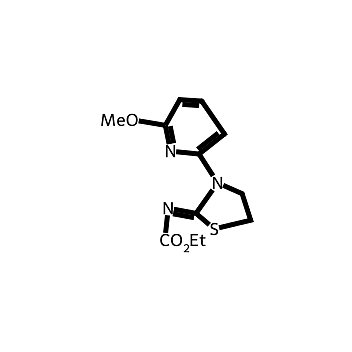 CCOC(=O)/N=C1\SCCN1c1cccc(OC)n1